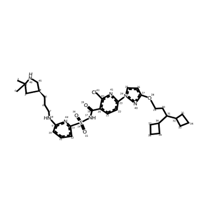 CC1(C)C[C@H](CCCNc2cccc(S(=O)(=O)NC(=O)c3ccc(-n4ccc(OCCC(C5CCC5)C5CCC5)n4)nc3Cl)n2)CN1